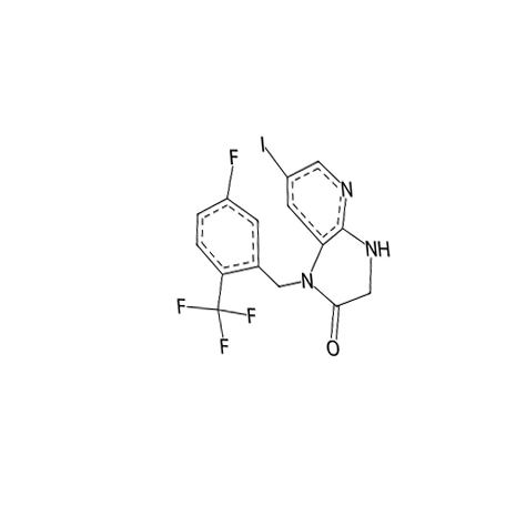 O=C1CNc2ncc(I)cc2N1Cc1cc(F)ccc1C(F)(F)F